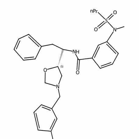 CCCS(=O)(=O)N(C)c1cccc(C(=O)NC(Cc2ccccc2)[C@@H]2CN(Cc3cccc(OC)c3)CO2)c1